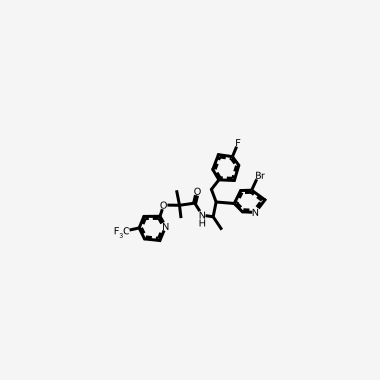 CC(NC(=O)C(C)(C)Oc1cc(C(F)(F)F)ccn1)C(Cc1ccc(F)cc1)c1cncc(Br)c1